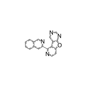 c1ccc2cc(-c3nccc4oc5ncncc5c34)ncc2c1